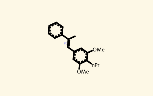 CCCc1c(OC)cc(/C=C(\C)c2ccccc2)cc1OC